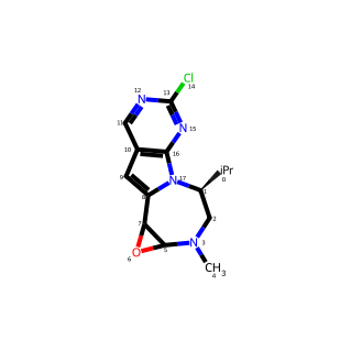 CC(C)[C@H]1CN(C)C2OC2c2cc3cnc(Cl)nc3n21